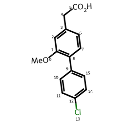 COc1cc(CC(=O)O)ccc1-c1ccc(Cl)cc1